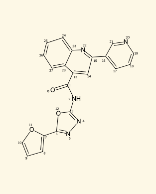 O=C(Nc1nnc(-c2ccco2)o1)c1cc(-c2cccnc2)nc2ccccc12